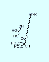 CCCCCCCCCCCCCCCCCCOC(=O)CC(O)(CC(=O)O)C(=O)O.OCC(O)CO